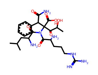 CC(C)CC(N)C(=O)N(C(=O)C(N)CCCNC(=N)N)C(C(=O)O)(C(=O)C(C)O)C(C(N)=O)c1ccccc1